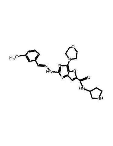 Cc1cccc(/C=N/Nc2nc(N3CCOCC3)c3oc(C(=O)NC4CCNC4)cc3n2)c1